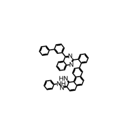 N=C1/C(=N\Nc2ccccc2)C=Cc2ccc3cc(-c4ccccc4-c4nc(-c5cccc(-c6ccccc6)c5)c5ccccc5n4)ccc3c21